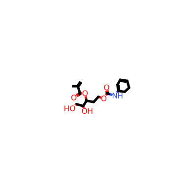 C=C(C)C(=O)OC(CCOC(=O)NC1=CC=CCC1)C(O)CO